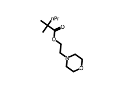 CCCC(C)(C)C(=O)OCCN1CCOCC1